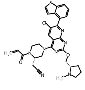 C=CC(=O)N1CCN(c2nc(OC[C@@H]3CCCN3C)nc3nc(-c4cccc5sccc45)c(Cl)cc23)C[C@@H]1CC#N